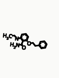 CC[N]c1cccc(OCCc2ccccc2)c1C(N)=O